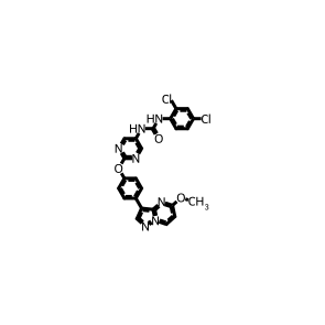 COc1ccn2ncc(-c3ccc(Oc4ncc(NC(=O)Nc5ccc(Cl)cc5Cl)cn4)cc3)c2n1